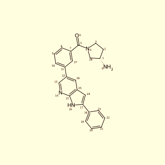 N[C@H]1CCN(C(=O)c2cccc(-c3cnc4[nH]c(-c5ccccc5)cc4c3)c2)C1